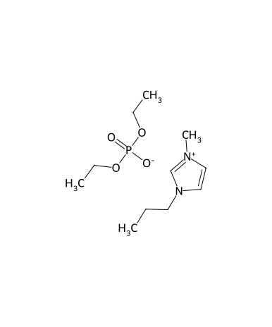 CCCn1cc[n+](C)c1.CCOP(=O)([O-])OCC